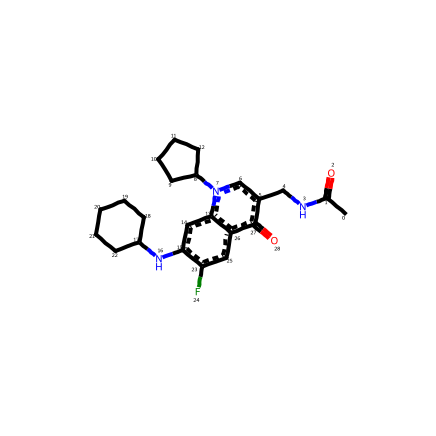 CC(=O)NCc1cn(C2CCCC2)c2cc(NC3CCCCC3)c(F)cc2c1=O